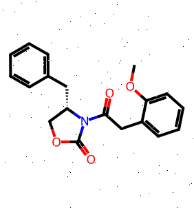 COc1ccccc1CC(=O)N1C(=O)OC[C@@H]1Cc1ccccc1